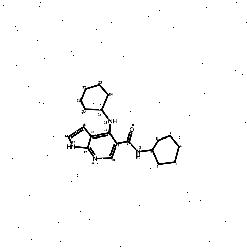 O=C(NC1CCCCC1)c1cnc2[nH]ccc2c1NC1CCCCC1